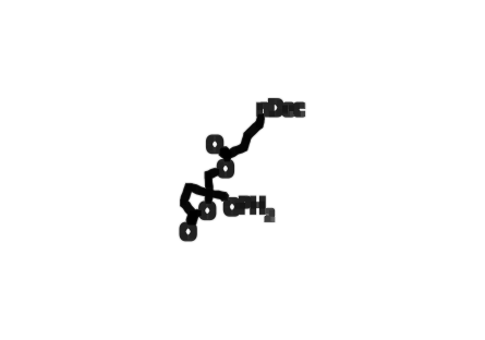 CCCCCCCCCCCCCC(=O)OCC1(COP)CCC(=O)O1